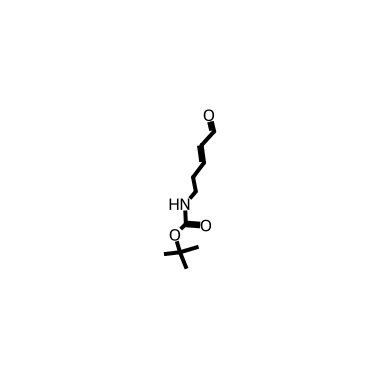 CC(C)(C)OC(=O)NCCC=CC=O